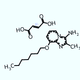 CCCCCCCOc1cccn2c(N)c(C)nc12.O=C(O)/C=C/C(=O)O